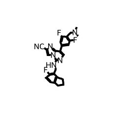 CN(C)Cc1c(F)cc(-c2cnc(NCc3c(F)ccc4c3CCC4)n3cc(C#N)nc23)cc1F